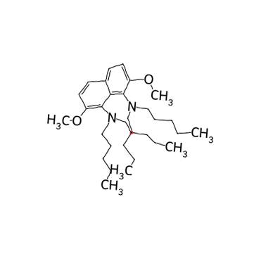 CCCCCN(CCCCC)c1c(OC)ccc2ccc(OC)c(N(CCCCC)CCCCC)c12